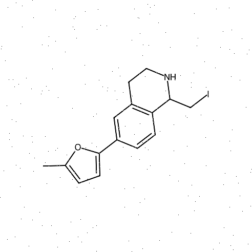 Cc1ccc(-c2ccc3c(c2)CCNC3CI)o1